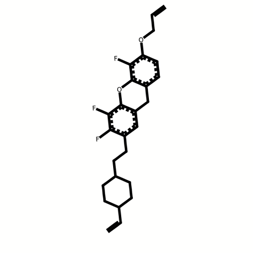 C=CCOc1ccc2c(c1F)Oc1c(cc(CCC3CCC(C=C)CC3)c(F)c1F)C2